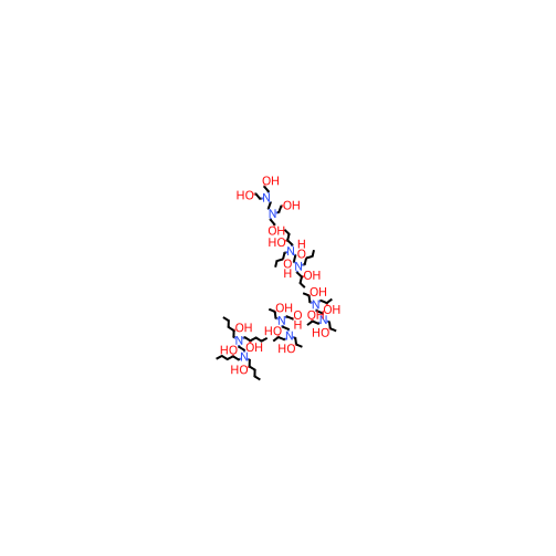 CC(O)CN(CCN(CC(C)O)CC(C)O)CC(C)O.CC(O)CN(CCO)CCN(CC(C)O)CC(C)O.CCC(O)CN(CCN(CC(O)CC)CC(O)CC)CC(O)CC.CCCC(O)CN(CCN(CC(O)CCC)CC(O)CCC)CC(O)CCC.OCCN(CCO)CCN(CCO)CCO